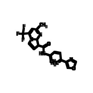 C=C(/C=C\C(=C)c1cocn1)NC(=O)C1C=CN2C(C(F)(F)F)=CC(C)=NC12